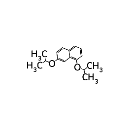 CC(C)Oc1ccc2cccc(OC(C)C)c2c1